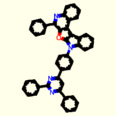 c1ccc(-c2cc(-c3ccc(-n4c5ccccc5c5c6c(oc54)c(-c4ccccc4)nc4ccccc46)cc3)nc(-c3ccccc3)n2)cc1